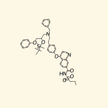 CCCS(=O)(=O)NC(=O)c1ccc2c(Oc3ccc(CCN(Cc4ccccc4)CC(COc4ccccc4)O[Si](C)(C)C(C)(C)C)cc3)ccnc2c1